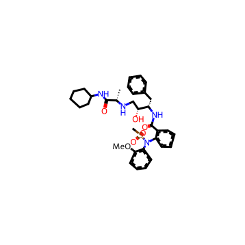 COc1ccccc1N(c1ccccc1C(=O)N[C@@H](Cc1ccccc1)[C@H](O)CN[C@@H](C)C(=O)NC1CCCCC1)S(C)(=O)=O